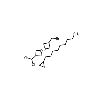 BrCC1COC1.CCCCCCCCCC1CC1.ClC(Cl)C1COC1